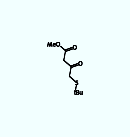 COC(=O)CC(=O)CSC(C)(C)C